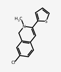 CN1Cc2cc(Cl)ccc2C=C1c1cccs1